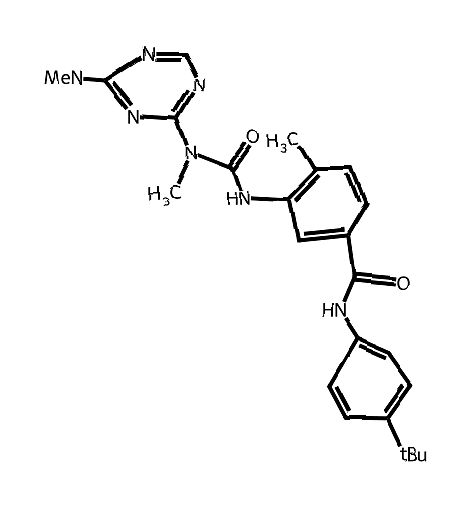 CNc1ncnc(N(C)C(=O)Nc2cc(C(=O)Nc3ccc(C(C)(C)C)cc3)ccc2C)n1